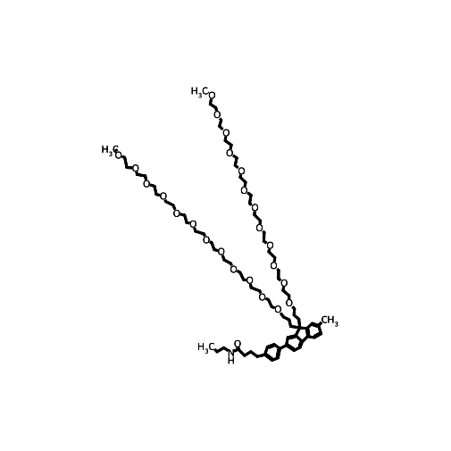 CCCNC(=O)CCCc1ccc(-c2ccc3c(c2)C(CCCOCCOCCOCCOCCOCCOCCOCCOCCOCCOCCOCCOC)(CCCOCCOCCOCCOCCOCCOCCOCCOCCOCCOCCOCCOC)c2cc(C)ccc2-3)cc1